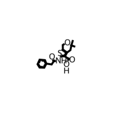 CC1(C)Cc2c(sc(NC(=O)Cc3ccccc3)c2C(=O)O)CO1